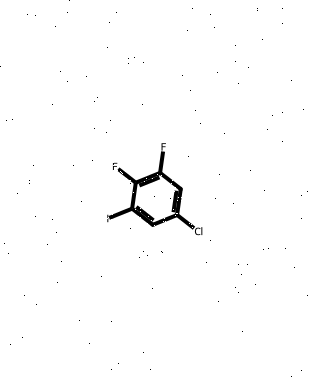 Fc1cc(Cl)cc(I)c1F